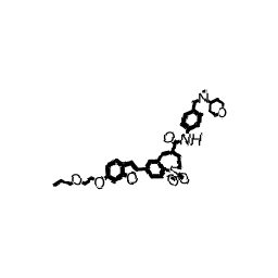 CCCOCCOc1ccc2cc(-c3ccc4c(c3)C=C(C(=O)Nc3ccc(CN(C)C5CCOCC5)cc3)CCS4(=O)=O)oc2c1